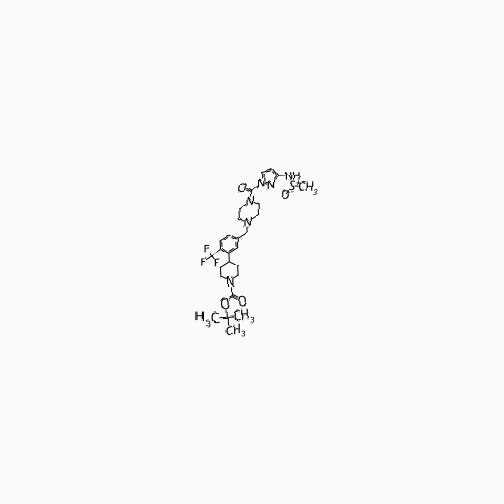 C[S+]([O-])Nc1ccn(C(=O)N2CCN(Cc3ccc(C(F)(F)F)c(C4CCN(C(=O)OC(C)(C)C)CC4)c3)CC2)n1